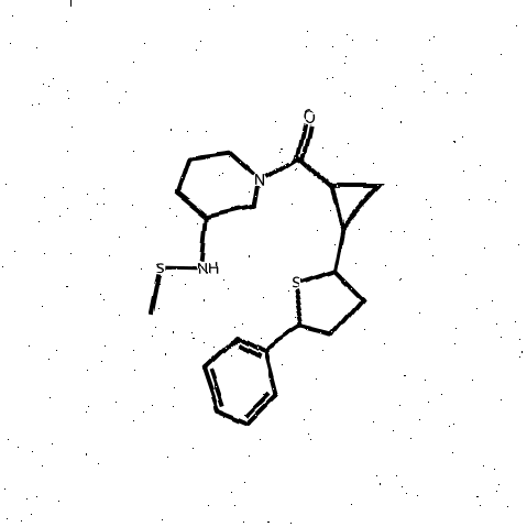 CSNC1CCCN(C(=O)C2CC2C2CCC(c3ccccc3)S2)C1